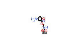 CC(C)(C)OC(=O)NCCOc1noc2ccc(N)cc12